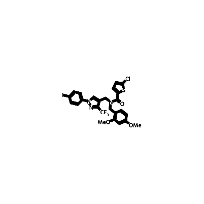 COc1ccc(CN(Cc2cn(-c3ccc(I)cc3)nc2C(F)(F)F)C(=O)c2ccc(Cl)s2)c(OC)c1